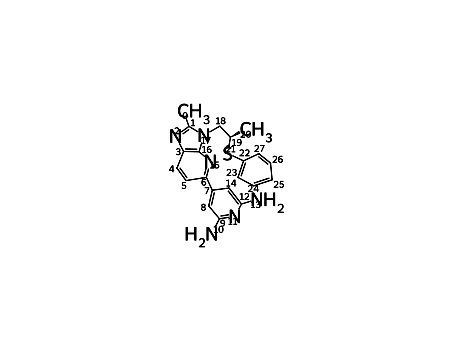 Cc1nc2ccc(-c3cc(N)nc(N)c3)nc2n1C[C@@H](C)Sc1ccccc1